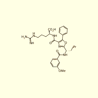 COc1cccc(C(=O)N[C@@H](CC(C)C)c2nc(C(=O)N[C@@H](CCCNC(=N)N)C(=O)O)c(-c3ccccc3)o2)c1